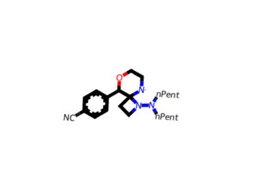 CCCCCN(CCCCC)N1CCC12[N]CCOC2c1ccc(C#N)cc1